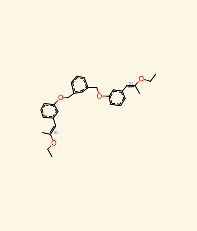 CCO/C(C)=C/c1cccc(OCc2cccc(COc3cccc(/C=C(\C)OCC)c3)c2)c1